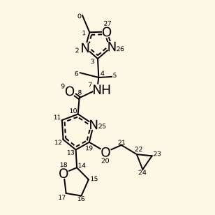 Cc1nc(C(C)(C)NC(=O)c2ccc(C3CCCO3)c(OCC3CC3)n2)no1